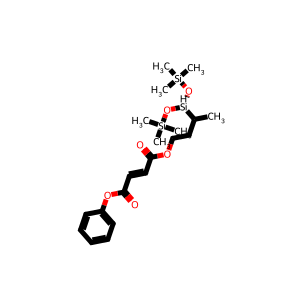 CC(CCOC(=O)/C=C/C(=O)Oc1ccccc1)[SiH](O[Si](C)(C)C)O[Si](C)(C)C